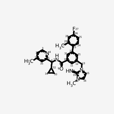 Cc1ccnc(C(NC(=O)c2cc(Cn3ccn(C)c3=N)cc(-c3ccc(F)cc3C)c2)C2CC2)c1